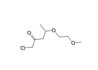 COCCOC(C)CC(=O)CCl